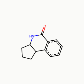 O=C1NC2CCCC2c2ccccc21